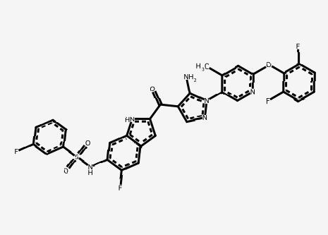 Cc1cc(Oc2c(F)cccc2F)ncc1-n1ncc(C(=O)c2cc3cc(F)c(NS(=O)(=O)c4cccc(F)c4)cc3[nH]2)c1N